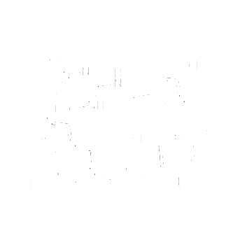 CCCN(CCOc1c(Cl)cc(Cl)cc1Cl)C(=O)n1ccnc1.CN/C(=N\[N+](=O)[O-])NCc1cnc(Cl)s1